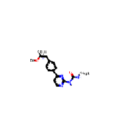 CCCCCCCNC(=O)N(C)c1nccc(-c2ccc(/C=C(\OCC)C(=O)O)cc2)n1